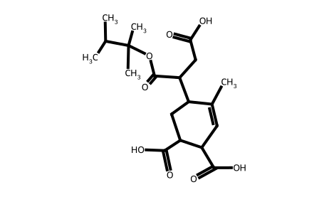 CC1=CC(C(=O)O)C(C(=O)O)CC1C(CC(=O)O)C(=O)OC(C)(C)C(C)C